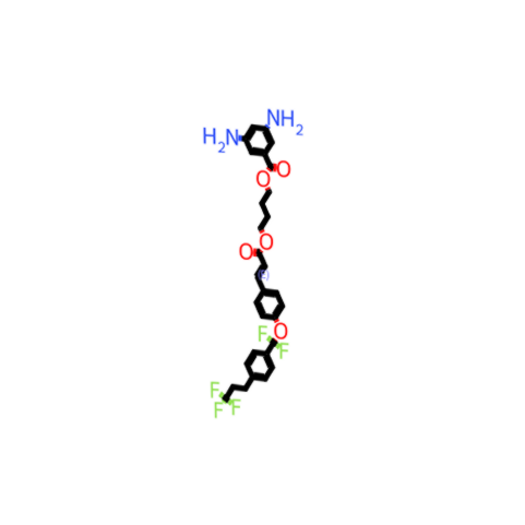 Nc1cc(N)cc(C(=O)OCCCCOC(=O)/C=C/c2ccc(OC(F)(F)c3ccc(CCC(F)(F)F)cc3)cc2)c1